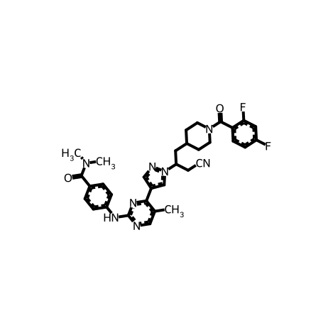 Cc1cnc(Nc2ccc(C(=O)N(C)C)cc2)nc1-c1cnn(C(CC#N)CC2CCN(C(=O)c3ccc(F)cc3F)CC2)c1